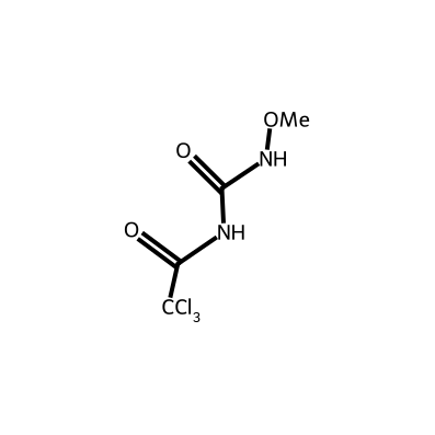 [CH2]ONC(=O)NC(=O)C(Cl)(Cl)Cl